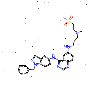 CN(CCCNc1ccc2ncnc(Nc3ccc4c(cnn4Cc4ccccc4)c3)c2c1)CCS(C)(=O)=O